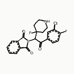 O=C(c1ccc(F)c(Cl)c1)C(N1C(=O)c2ccccc2C1=O)C1(F)CCNCC1